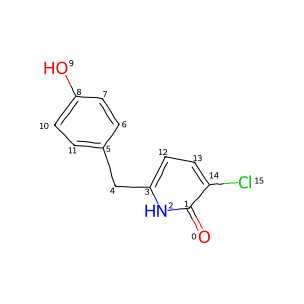 O=c1[nH]c(Cc2ccc(O)cc2)ccc1Cl